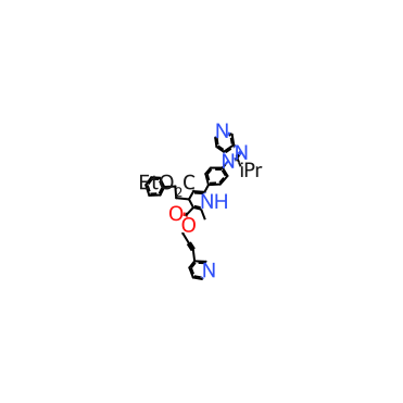 CCOC(=O)C1=C(c2ccc(-n3c(C(C)C)nc4cnccc43)cc2)NC(C)=C(C(=O)OCC#Cc2cccnc2)C1CCc1ccccc1